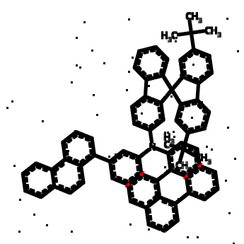 CC(C)(C)c1ccc2c(c1)C1(c3ccccc3-c3ccc(N(c4cccc(-c5cccc6c5ccc5ccccc56)c4)c4ccccc4-c4cccc5cccc(-c6ccccc6)c45)cc31)c1cc(C(C)(C)C)ccc1-2